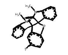 CN1C(=O)C2(Oc3ccc(F)cc3C23C(=O)N(C)c2ccccc23)c2ccccc21